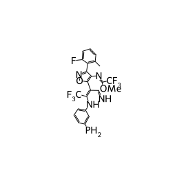 CO/C(=N\c1c(-c2c(C)cccc2F)noc1/C(C=N)=C(/Nc1cccc(P)c1)C(F)(F)F)C(F)(F)F